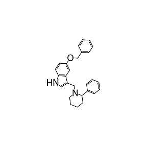 c1ccc(COc2ccc3[nH]cc(CN4CCCCC4c4ccccc4)c3c2)cc1